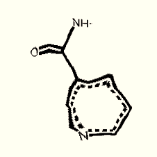 [NH]C(=O)c1cccnc1